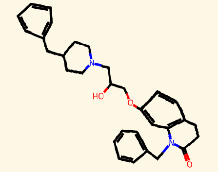 O=C1CCc2ccc(OCC(O)CN3CCC(Cc4ccccc4)CC3)cc2N1Cc1ccccc1